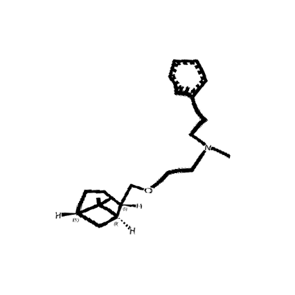 CN(CCOC[C@H]1CC[C@H]2C[C@H]1C2(C)C)CCc1ccccc1